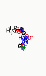 CC(C)(C)OC(=O)C1CCN1[C@H]1CC[C@H](CNc2nc(NCc3ccccc3OC(F)(F)F)ncc2[N+](=O)[O-])CC1